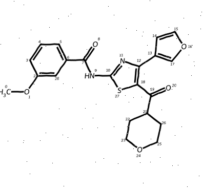 COc1cccc(C(=O)Nc2nc(-c3ccoc3)c(C(=O)C3CCOCC3)s2)c1